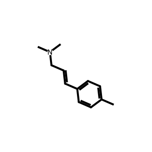 Cc1ccc(/C=C/CN(C)C)cc1